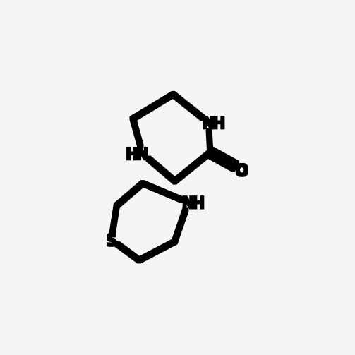 C1CSCCN1.O=C1CNCCN1